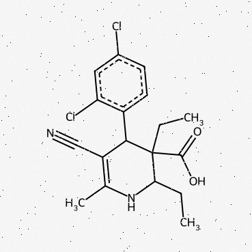 CCC1NC(C)=C(C#N)C(c2ccc(Cl)cc2Cl)C1(CC)C(=O)O